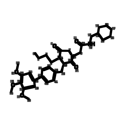 CCCCN1C(=O)CN(CC(=O)NCC2CCCCC2)C(=O)[C@H]1Cc1ccc(-c2cc(OC)c(OC)c(OC)c2)cc1